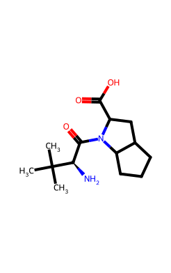 CC(C)(C)[C@H](N)C(=O)N1C(C(=O)O)CC2CCCC21